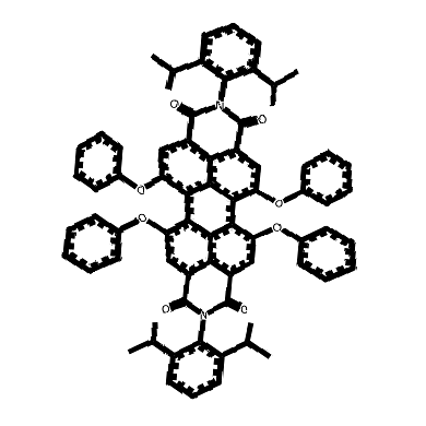 CC(C)c1cccc(C(C)C)c1N1C(=O)c2cc(Oc3ccccc3)c3c4c(Oc5ccccc5)cc5c6c(cc(Oc7ccccc7)c(c7c(Oc8ccccc8)cc(c2c37)C1=O)c64)C(=O)N(c1c(C(C)C)cccc1C(C)C)C5=O